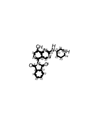 Cc1cnc(N2C(=O)c3ccccc3C2=O)c2cnc(N[C@H]3CCCNC3)nc12